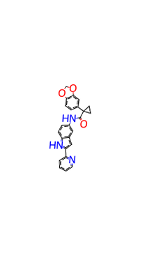 O=C(Nc1ccc2[nH]c(-c3ccccn3)cc2c1)C1(c2ccc3c(c2)OCO3)CC1